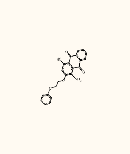 Nc1c(OCCOc2ccccc2)cc(O)c2c1C(=O)c1ccccc1C2=O